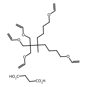 C=COCCCCC(C)(CCCCOC=C)C(COC=C)(COC=C)COC=C.O=C(O)CCC(=O)O